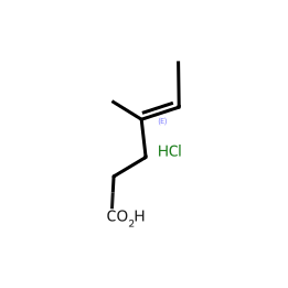 C/C=C(\C)CCC(=O)O.Cl